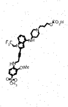 COc1cc(S(C)(=O)=O)ccc1NCC#Cc1cc2c(NC3CCN(CCCOC(=O)O)CC3)cccc2n1CC(F)(F)F